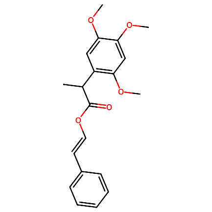 COc1cc(OC)c(C(C)C(=O)OC=Cc2ccccc2)cc1OC